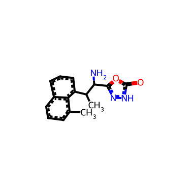 Cc1cccc2cccc(C(C)C(N)c3n[nH]c(=O)o3)c12